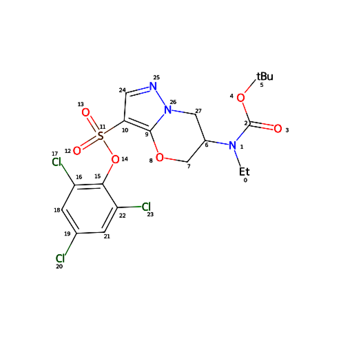 CCN(C(=O)OC(C)(C)C)C1COc2c(S(=O)(=O)Oc3c(Cl)cc(Cl)cc3Cl)cnn2C1